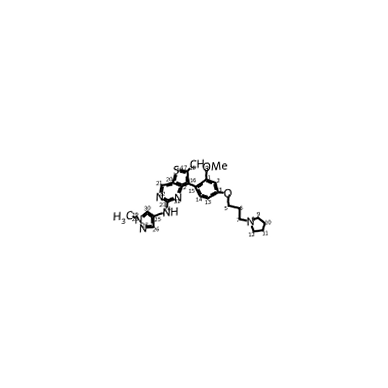 COc1cc(OCCCN2CCCC2)ccc1-c1c(C)sc2cnc(Nc3cnn(C)c3)nc12